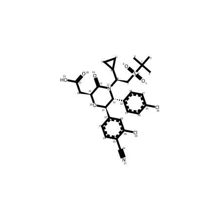 CC(C)(C)S(=O)(=O)C[C@H](C1CC1)N1C(=O)[C@H](CC(=O)O)O[C@H](c2ccc(C#N)c(Cl)c2)[C@H]1c1ccc(Cl)cc1